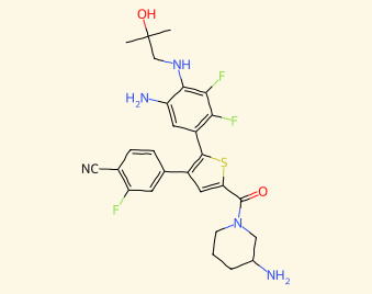 CC(C)(O)CNc1c(N)cc(-c2sc(C(=O)N3CCCC(N)C3)cc2-c2ccc(C#N)c(F)c2)c(F)c1F